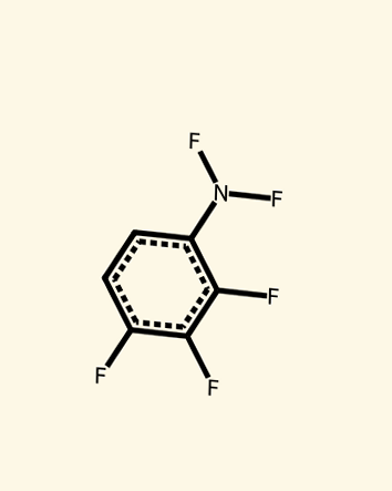 Fc1ccc(N(F)F)c(F)c1F